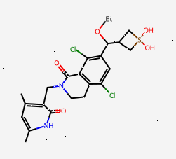 CCOC(c1cc(Cl)c2c(c1Cl)C(=O)N(Cc1c(C)cc(C)[nH]c1=O)CC2)C1CS(O)(O)C1